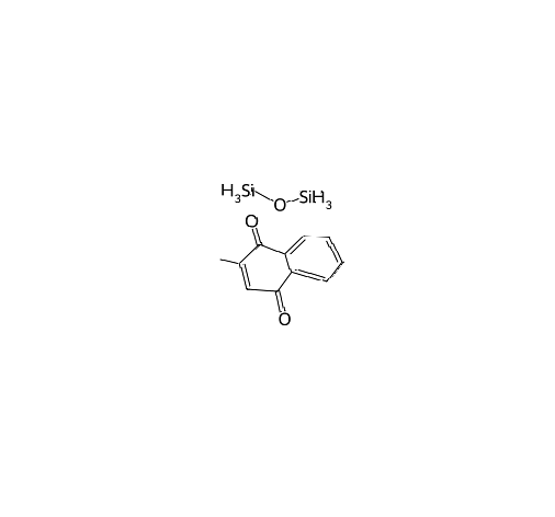 CC1=CC(=O)c2ccccc2C1=O.[SiH3]O[SiH3]